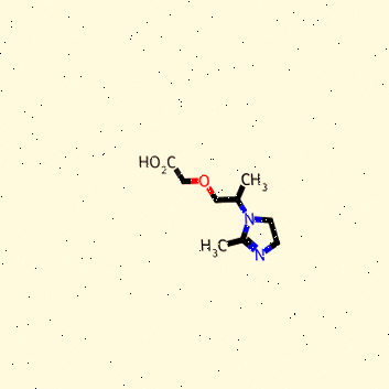 CC1=NCCN1C(C)COCC(=O)O